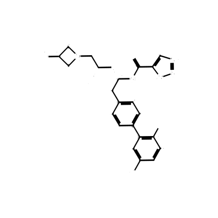 CCOC(=O)[C@@H](C[C@@H](Cc1ccc(-c2cc(Cl)ccc2F)cc1)NC(=O)c1cnn[nH]1)CN1CC(O)C1